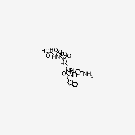 NCC1CCC(C(=O)N[C@@H](Cc2ccc3ccccc3c2)C(=O)NCCCC[C@H](NC(=O)N[C@@H](CCC(=O)O)C(=O)O)C(=O)O)CC1